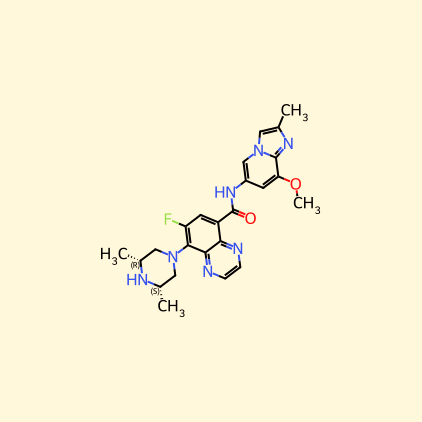 COc1cc(NC(=O)c2cc(F)c(N3C[C@@H](C)N[C@@H](C)C3)c3nccnc23)cn2cc(C)nc12